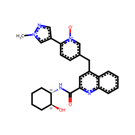 Cn1cc(-c2ccc(Cc3cc(C(=O)N[C@H]4CCCC[C@@H]4O)nc4ccccc34)c[n+]2[O-])cn1